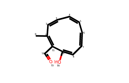 Cc1cccccccc(O)c1C=O